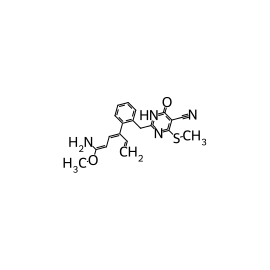 C=C/C(=C\C=C(/N)OC)c1ccccc1Cc1nc(SC)c(C#N)c(=O)[nH]1